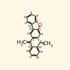 C=C(c1ccc2oc3ccccc3c2c1)c1ccccc1CC